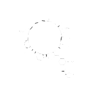 C=C1[C@H](C)C[C@H](C)/C=C/C=C/C=C(\C)[C@@H](OC)C[C@@H]2CC[C@@H](C)[C@@](O)(O2)C(=O)C(=O)N2CCCC[C@H]2C(=O)O[C@H]([C@H](C)C[C@@H]2CC[C@@H](OC(=O)C(C)(CO)CO)[C@H](OC)C2)CC(=O)[C@H](C)/C=C(\C)[C@@H](O)[C@H]1OC